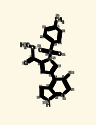 COC(=O)c1cc(-c2c(F)cnc3[nH]ccc23)cn1S(=O)(=O)c1ccc(C)cc1